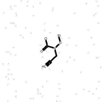 C#CCN(OCC)C(=O)Cl